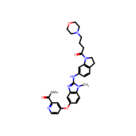 CNC(=O)c1cc(Oc2ccc3c(c2)nc(Nc2ccc4c(c2)N(C(=O)CCCN2CCOCC2)CC4)n3C)ccn1